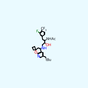 CC(=O)N[C@H](Cc1ccc(C(F)(F)F)c(F)c1)[C@@H](O)CN[C@H]1CC2(CCC2)Oc2ncc(CC(C)(C)C)cc21